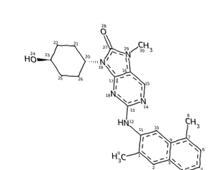 Cc1cc2nccc(C)c2cc1Nc1ncc2c(n1)n([C@H]1CC[C@H](O)CC1)c(=O)n2C